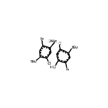 CC(C)(C)c1cc(Br)c(O)cc1Cl.COc1cc(Cl)c(C(C)(C)C)cc1Br